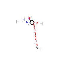 CCCOCCOCCOCCOc1cc2nc(C)[nH]c(=O)c2cc1OC